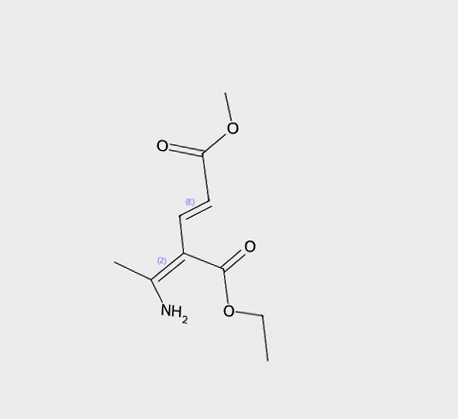 CCOC(=O)C(/C=C/C(=O)OC)=C(/C)N